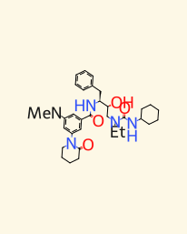 CCN(C[C@H](O)[C@H](Cc1ccccc1)NC(=O)c1cc(NC)cc(N2CCCCC2=O)c1)C(=O)NC1CCCCC1